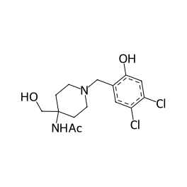 CC(=O)NC1(CO)CCN(Cc2cc(Cl)c(Cl)cc2O)CC1